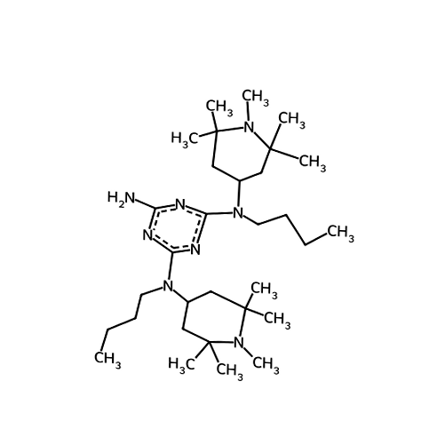 CCCCN(c1nc(N)nc(N(CCCC)C2CC(C)(C)N(C)C(C)(C)C2)n1)C1CC(C)(C)N(C)C(C)(C)C1